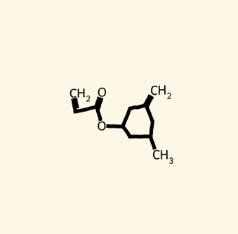 C=CC(=O)OC1CC(=C)CC(C)C1